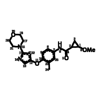 COC1CC1C(=O)Nc1ccc(Oc2cnc(N3CCOCC3)s2)c(C)c1